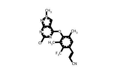 Cc1cc(C=CC#N)c(C(F)(F)F)c(C)c1Oc1nc(Cl)nc2nn(C)cc12